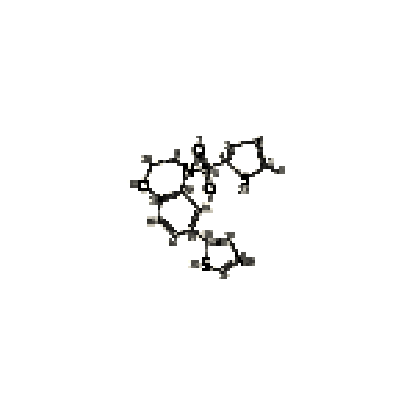 Cc1ccc(S(=O)(=O)N2CCOc3ccc(-c4cncs4)cc32)s1